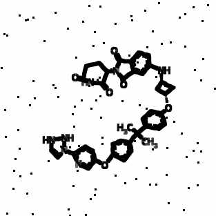 CC(C)(c1ccc(Oc2ccc(N3C=CNN3)nc2)cc1)c1ccc(O[C@H]2C[C@H](Nc3ccc4c(c3)C(=O)N(C3CCC(=O)NC3=O)C4=O)C2)cc1